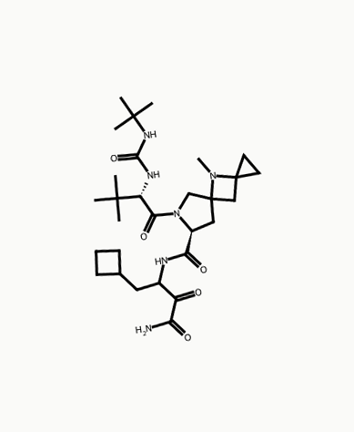 CN1C2(CC2)CC12C[C@@H](C(=O)NC(CC1CCC1)C(=O)C(N)=O)N(C(=O)[C@@H](NC(=O)NC(C)(C)C)C(C)(C)C)C2